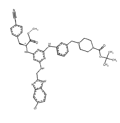 COC(=O)[C@H](Cc1ccc(C#N)cc1)Nc1nc(NCc2nc3cc(Cl)ccc3[nH]2)nc(Nc2cccc(CN3CCN(C(=O)OC(C)(C)C)CC3)c2)n1